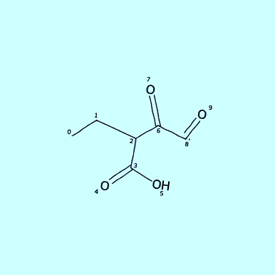 CCC(C(=O)O)C(=O)[C]=O